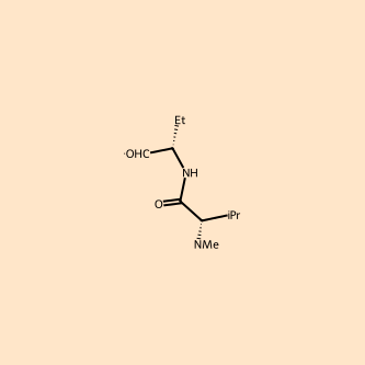 CC[C@@H]([C]=O)NC(=O)[C@@H](NC)C(C)C